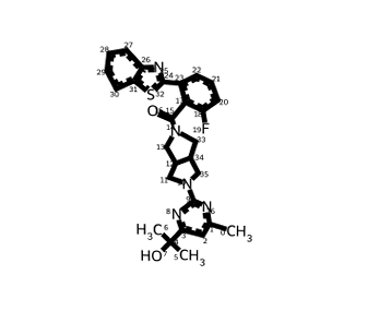 Cc1cc(C(C)(C)O)nc(N2CC3CN(C(=O)c4c(F)cccc4-c4nc5ccccc5s4)CC3C2)n1